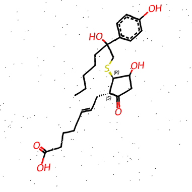 CCCCCC(O)(CS[C@H]1C(O)CC(=O)[C@@H]1CC=CCCCC(=O)O)c1ccc(O)cc1